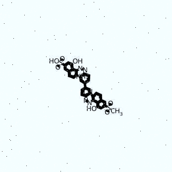 CS(=O)(=O)c1cc(O)c2c(/N=N\c3ccc(-c4ccc(/N=N\c5c(N)ccc6cc(S(=O)(=O)O)cc(O)c56)cc4)cc3)c(N)ccc2c1